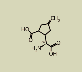 C=C1CC(C(=O)O)C([C@H](N)C(=O)O)C1